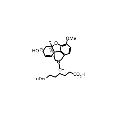 CCCCCCCCCCCCCCCC(=O)O.COc1ccc2c3c1O[C@H]1C[C@@H](O)C=C[C@@]31CCN(C)C2